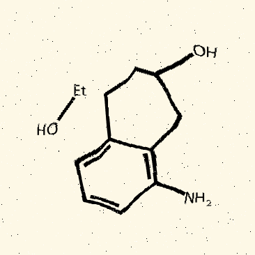 CCO.Nc1cccc2c1CC(O)CC2